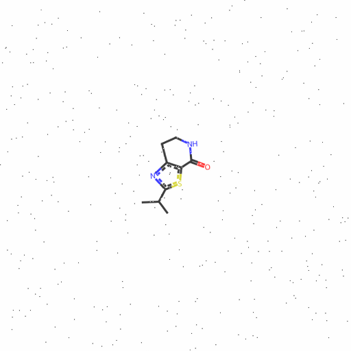 CC(C)c1nc2c(s1)C(=O)NCC2